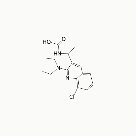 CCN(CC)c1nc2c(Cl)cccc2cc1C(C)NC(=O)O